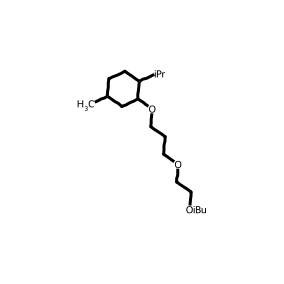 CC(C)COCCOCCCOC1CC(C)CCC1C(C)C